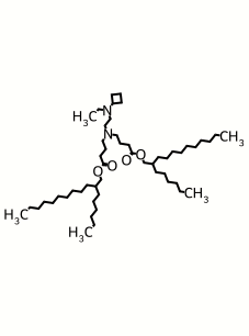 CCCCCCCCCCC(CCCCCC)COC(=O)CCCN(CCCC(=O)OCC(CCCCCC)CCCCCCCCCC)CCN(CC)C1CCC1